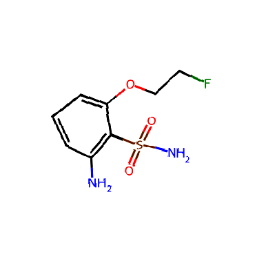 Nc1cccc(OCCF)c1S(N)(=O)=O